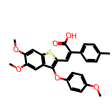 COc1ccc(Oc2c(C=C(C(=O)O)c3ccc(C)cc3)sc3cc(OC)c(OC)cc23)cc1